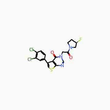 O=C(Cn1cnc2scc(-c3ccc(Cl)c(Cl)c3)c2c1=O)N1CC[C@@H](F)C1